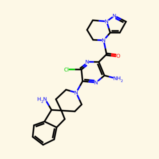 Nc1nc(N2CCC3(CC2)Cc2ccccc2C3N)c(Cl)nc1C(=O)N1CCCn2nccc21